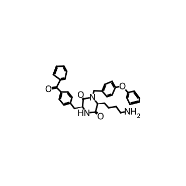 NCCCC[C@H]1C(=O)N[C@@H](Cc2ccc(C(=O)c3ccccc3)cc2)C(=O)N1Cc1ccc(Oc2ccccc2)cc1